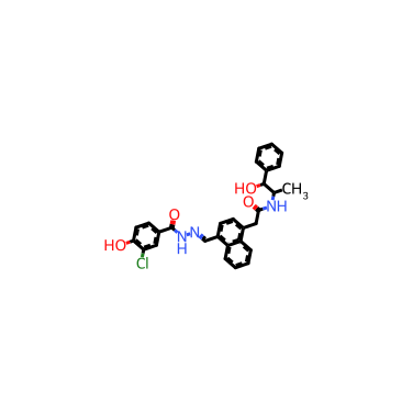 CC(NC(=O)Cc1ccc(/C=N/NC(=O)c2ccc(O)c(Cl)c2)c2ccccc12)C(O)c1ccccc1